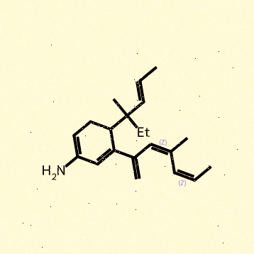 C=C(/C=C(C)\C=C/C)C1=CC(N)=CCC1C(C)(C=CC)CC